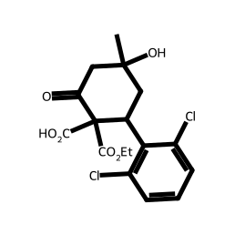 CCOC(=O)C1(C(=O)O)C(=O)CC(C)(O)CC1c1c(Cl)cccc1Cl